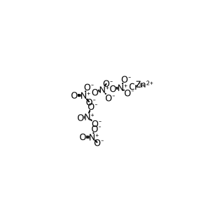 O=[N+]([O-])[O-].O=[N+]([O-])[O-].O=[N+]([O-])[O-].O=[N+]([O-])[O-].O=[N+]([O-])[O-].[Cr+3].[Zn+2]